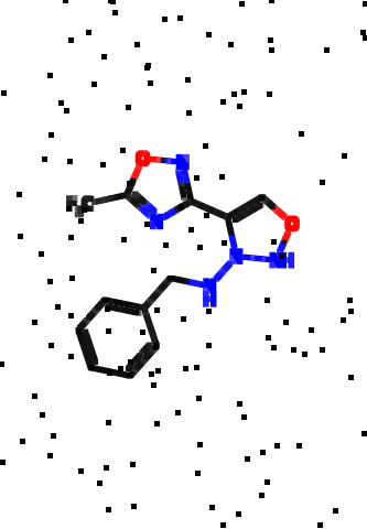 FC(F)(F)c1nc(C2=CONN2NCc2ccccc2)no1